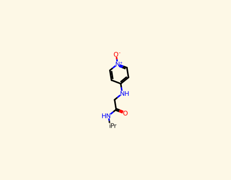 CC(C)NC(=O)CNc1cc[n+]([O-])cc1